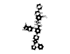 CC(C)c1ccccc1[C@@H]1CCCN1C1CC2(CCN(c3ccc(C(=O)NS(=O)(=O)c4cc5c(c([N+](=O)[O-])c4)NC([C@@H]4COCCO4)CO5)c(Oc4cnc5[nH]cc(F)c5c4)c3)CC2)C1